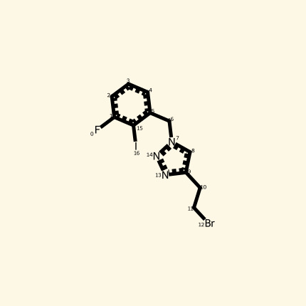 Fc1cccc([CH]n2cc(CCBr)nn2)c1I